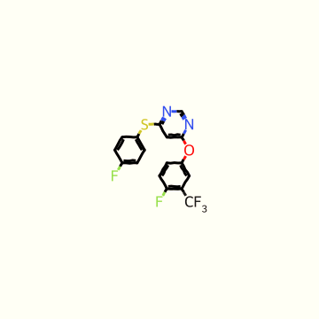 Fc1ccc(Sc2cc(Oc3ccc(F)c(C(F)(F)F)c3)ncn2)cc1